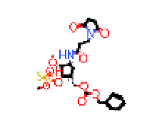 CO[C@H]1C(OP(O)(=S)OC)[C@@H](COC(=O)OCc2ccccc2)C[C@H]1NC(=O)CCN1C(=O)C=CC1=O